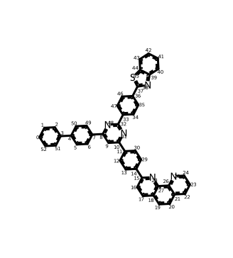 c1ccc(-c2ccc(-c3cc(-c4ccc(-c5ccc6ccc7cccnc7c6n5)cc4)nc(-c4ccc(-c5nc6ccccc6s5)cc4)n3)cc2)cc1